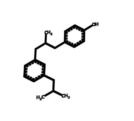 CC(C)Cc1cccc(CC(C)Cc2ccc(O)cc2)c1